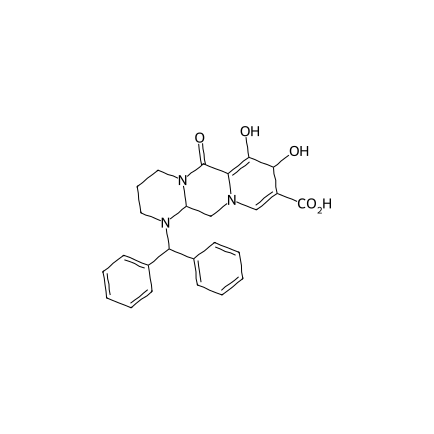 O=C(O)C1=CN2CC3N(CCCN3C(c3ccccc3)c3ccccc3)C(=O)C2=C(O)C1O